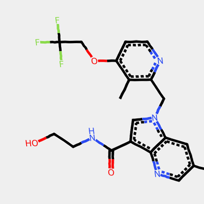 Cc1cnc2c(C(=O)NCCO)cn(Cc3nccc(OCC(F)(F)F)c3C)c2c1